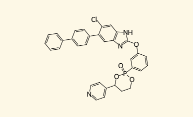 O=P1(c2cccc(Oc3nc4cc(-c5ccc(-c6ccccc6)cc5)c(Cl)cc4[nH]3)c2)OCCC(c2ccncc2)O1